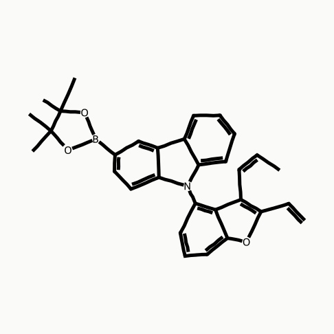 C=Cc1oc2cccc(-n3c4ccccc4c4cc(B5OC(C)(C)C(C)(C)O5)ccc43)c2c1/C=C\C